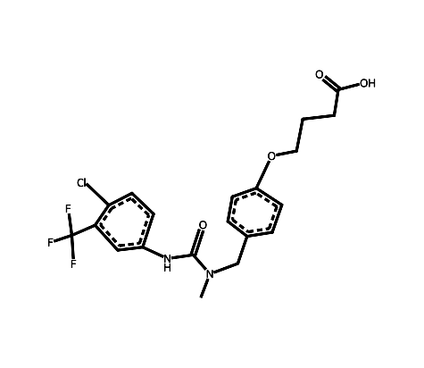 CN(Cc1ccc(OCCCC(=O)O)cc1)C(=O)Nc1ccc(Cl)c(C(F)(F)F)c1